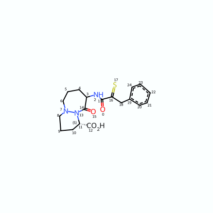 O=C(NC1CCCN2CCC[C@@H](C(=O)O)N2C1=O)C(=S)Cc1ccccc1